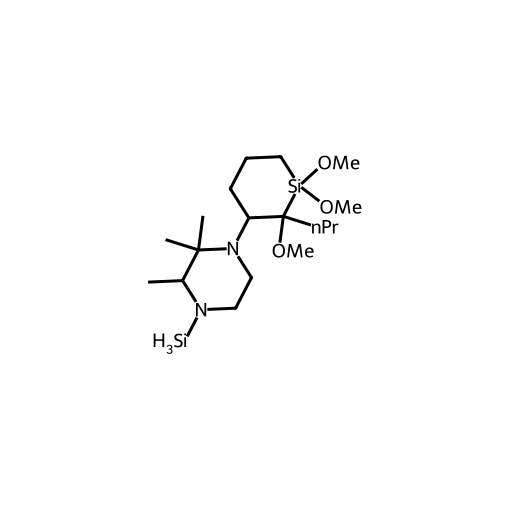 CCCC1(OC)C(N2CCN([SiH3])C(C)C2(C)C)CCC[Si]1(OC)OC